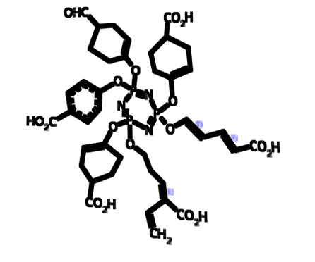 C=C/C(=C\CCOP1(OC2=CCC(C(=O)O)CC2)=NP(OC2=CCC(C=O)CC2)(Oc2ccc(C(=O)O)cc2)=NP(O/C=C/C=C/C(=O)O)(OC2=CCC(C(=O)O)CC2)=N1)C(=O)O